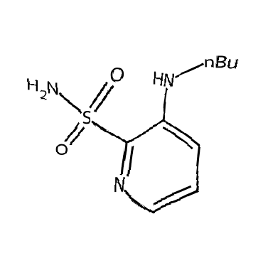 CCCCNc1cccnc1S(N)(=O)=O